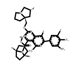 Cc1nc(-c2cc(N)c(C(F)(F)F)c(F)c2)c(F)c2nc(OC[C@@]34CCCN3C[C@H](F)C4)nc(N3C[C@H]4CC[C@@H](C3)N4C(=O)OC(C)(C)C)c12